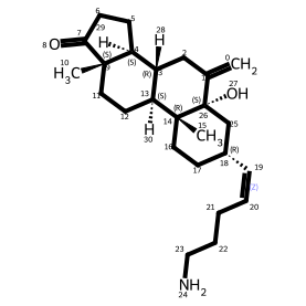 C=C1C[C@H]2[C@@H]3CCC(=O)[C@@]3(C)CC[C@@H]2[C@@]2(C)CC[C@@H](/C=C\CCCN)C[C@]12O